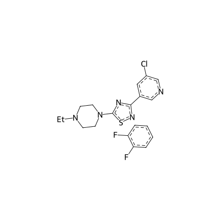 CCN1CCN(c2nc(-c3cncc(Cl)c3)ns2)CC1.Fc1ccccc1F